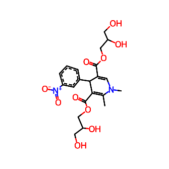 CC1=C(C(=O)OCC(O)CO)C(c2cccc([N+](=O)[O-])c2)C(C(=O)OCC(O)CO)=CN1C